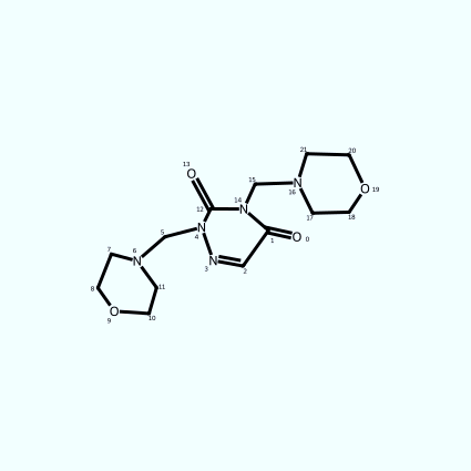 O=c1cnn(CN2CCOCC2)c(=O)n1CN1CCOCC1